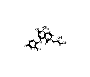 Cn1c(=O)cc(Nc2ccc(Br)cc2F)c2c(=O)n(C[C@@H](O)CO)ccc21